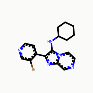 Brc1cnccc1-c1nc2cnccn2c1NC1CCCCC1